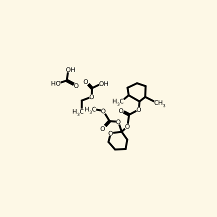 CCOC(=O)O.COC(=O)OC1(OC(=O)OC2C(C)CCCC2C)CCCCO1.O=C(O)O